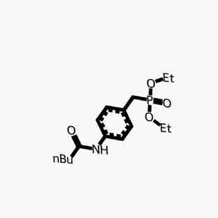 CCCCC(=O)Nc1ccc(CP(=O)(OCC)OCC)cc1